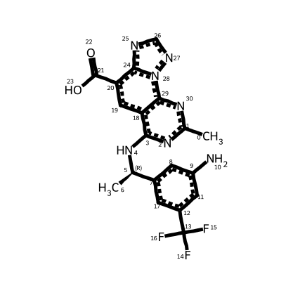 Cc1nc(N[C@H](C)c2cc(N)cc(C(F)(F)F)c2)c2cc(C(=O)O)c3ncnn3c2n1